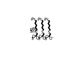 CC(C)CCCCCSCC([O-])=[O+][S-].CC(C)CCCCCSCC([O-])=[O+][S-].CC(C)CCCCCSCC([O-])=[O+][S-].CCC[CH2][Sn+3]